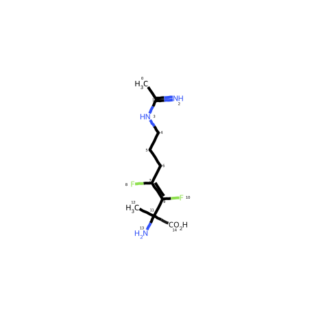 CC(=N)NCCCC(F)=C(F)C(C)(N)C(=O)O